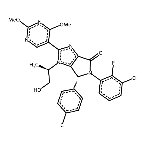 COc1ncc(-c2nc3c(n2[C@H](C)CO)[C@@H](c2ccc(Cl)cc2)N(c2cccc(Cl)c2F)C3=O)c(OC)n1